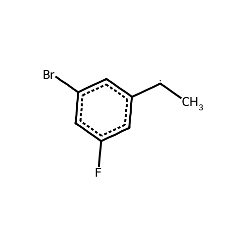 C[CH]c1cc(F)cc(Br)c1